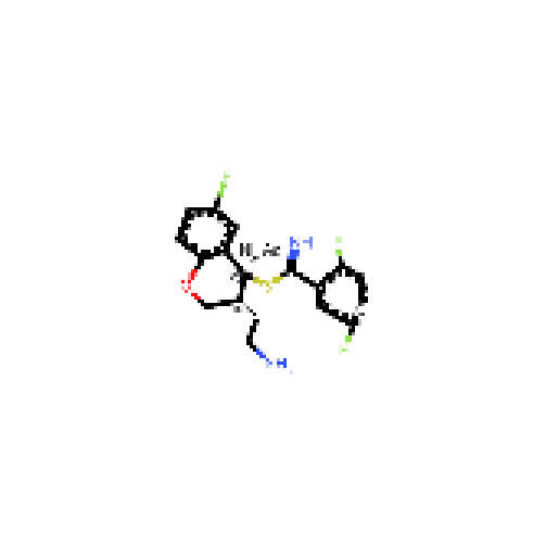 CC(=O)N[C@@]1(SC(=N)c2cc(F)ccc2F)c2cc(F)ccc2OC[C@H]1CCN